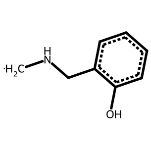 [CH2]NCc1ccccc1O